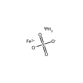 O=S(=O)([O-])[O-].[1PH3].[Fe+2]